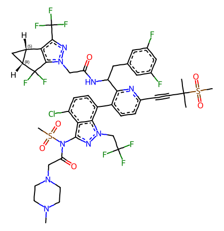 CN1CCN(CC(=O)N(c2nn(CC(F)(F)F)c3c(-c4ccc(C#CC(C)(C)S(C)(=O)=O)nc4C(Cc4cc(F)cc(F)c4)NC(=O)Cn4nc(C(F)(F)F)c5c4C(F)(F)[C@@H]4C[C@H]54)ccc(Cl)c23)S(C)(=O)=O)CC1